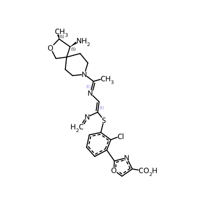 C=N/C(=C\N=C(/C)N1CCC2(CC1)CO[C@@H](C)[C@H]2N)Sc1cccc(-c2nc(C(=O)O)co2)c1Cl